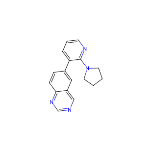 c1cnc(N2CCCC2)c(-c2ccc3ncncc3c2)c1